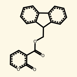 O=C(OCC1c2ccccc2-c2ccccc21)c1cccoc1=O